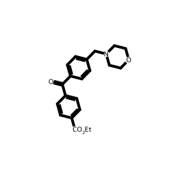 CCOC(=O)c1ccc(C(=O)c2ccc(CN3CCOCC3)cc2)cc1